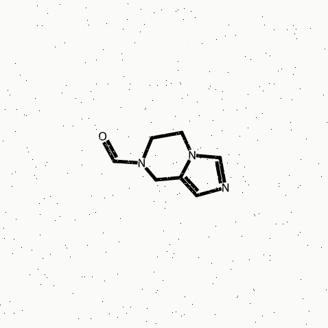 O=CN1CCn2cncc2C1